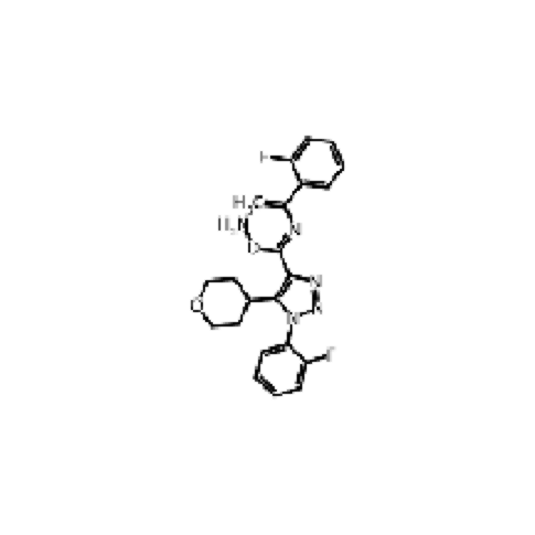 C=C(/N=C(\ON)c1nnn(-c2ccccc2F)c1C1CCOCC1)c1ccccc1F